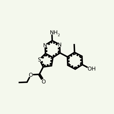 CCOC(=O)c1cc2c(-c3ccc(O)cc3C)nc(N)nc2s1